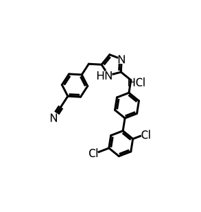 Cl.N#Cc1ccc(Cc2cnc(Cc3ccc(-c4cc(Cl)ccc4Cl)cc3)[nH]2)cc1